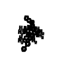 Bc1c(B)c(B)c2c(-c3ccc4oc5cc6ccccc6cc5c4c3)c3c(B)c(B)c(B)c(B)c3c(-c3ccc4c(c3)C(C)(C)c3cc(-c5ccccc5)ccc3-4)c2c1B